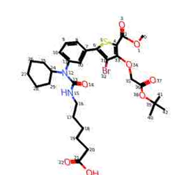 COC(=O)c1sc(-c2cccc(N(C(=O)NCCCCCC(=O)O)C3CCCCC3)c2)c(Br)c1OCC(=O)OC(C)(C)C